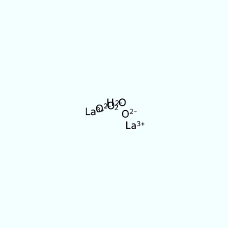 O.[La+3].[La+3].[O-2].[O-2].[O-2]